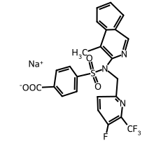 Cc1c(N(Cc2ccc(F)c(C(F)(F)F)n2)S(=O)(=O)c2ccc(C(=O)[O-])cc2)ncc2ccccc12.[Na+]